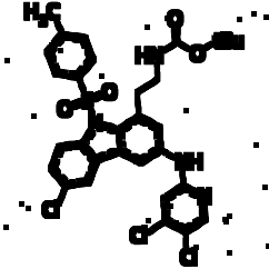 Cc1ccc(S(=O)(=O)n2c3ccc(Cl)cc3c3cc(Nc4cc(Cl)c(Cl)cn4)cc(CCNC(=O)OC(C)(C)C)c32)cc1